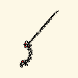 C=C=C=C=C=C=C=C=C=C=C=C=C=C=C=C=C=C=C=C=C=C=C=C=C=C=C=C=C=C=C=C=C=C=C=C(N1C(=O)C=CC1=O)N1C(=O)c2ccc(Oc3ccc(C(C)(C)c4ccc(Oc5ccc6c(c5)C(=O)N(CN5C(=O)C=CC5=O)C6=O)cc4)cc3)cc2C1=O